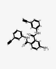 C#Cc1cccc(NC(=O)c2ccc(N)cc2C(=O)Nc2cccc(C#C)c2)c1